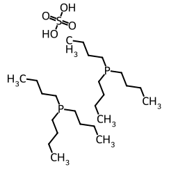 CCCCP(CCCC)CCCC.CCCCP(CCCC)CCCC.O=S(=O)(O)O